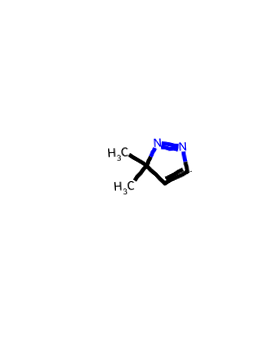 CC1(C)C=[C]N=N1